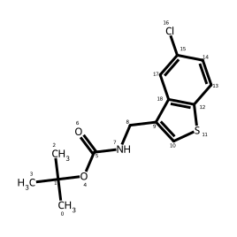 CC(C)(C)OC(=O)NCc1csc2ccc(Cl)cc12